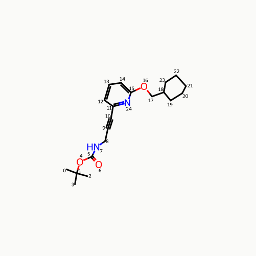 CC(C)(C)OC(=O)NCC#Cc1cccc(OCC2CCCCC2)n1